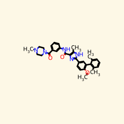 COc1ccc(-c2nc(C(=O)Nc3cccc(C(=O)N4CCN(C)CC4)c3)c(C)[nH]2)cc1-c1c(C)cccc1C